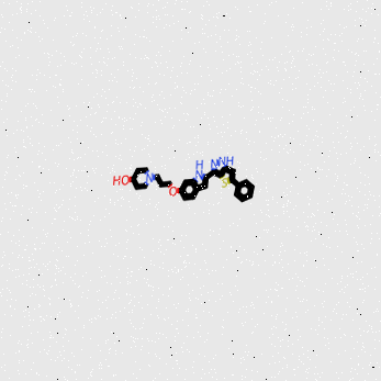 OC1CCN(CCCOc2ccc3cc(-c4n[nH]c5cc(-c6ccccc6)sc45)[nH]c3c2)CC1